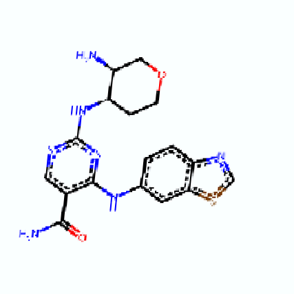 NC(=O)c1cnc(N[C@@H]2CCOC[C@@H]2N)nc1Nc1ccc2ncsc2c1